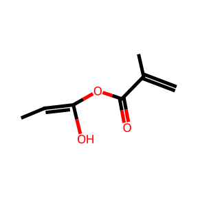 C=C(C)C(=O)OC(O)=CC